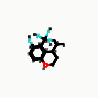 CC(C)C1CCOc2ccc(F)c(C(F)(F)F)c21